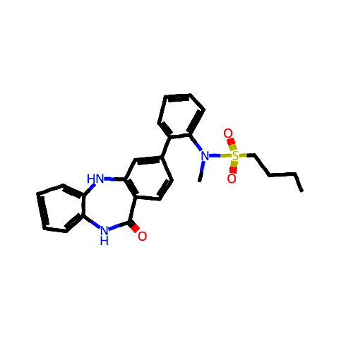 CCCCS(=O)(=O)N(C)c1ccccc1-c1ccc2c(c1)Nc1ccccc1NC2=O